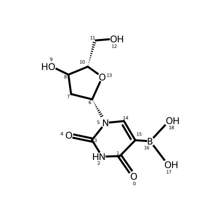 O=c1[nH]c(=O)n([C@@H]2CC(O)[C@H](CO)O2)cc1B(O)O